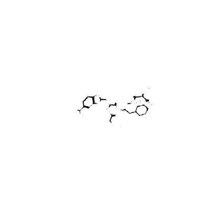 CCC(=O)N[C@@H](Cc1nc2ccc(C(C)C)cc2s1)C(=O)N[C@H](CNC(=O)C(C)C#N)CC1CCCCC1